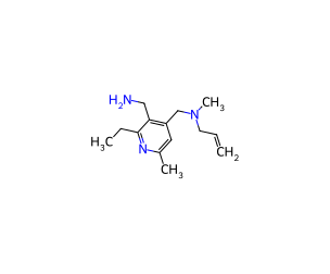 C=CCN(C)Cc1cc(C)nc(CC)c1CN